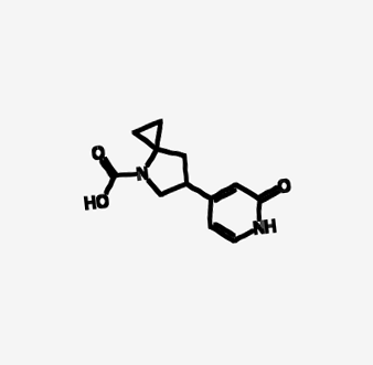 O=C(O)N1CC(c2cc[nH]c(=O)c2)CC12CC2